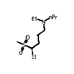 CCCN(CC)CCCC(CC)S(C)(=O)=O